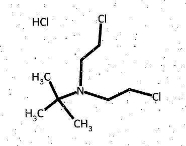 CC(C)(C)N(CCCl)CCCl.Cl